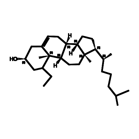 CCC1C[C@H](O)CC2=CC[C@H]3[C@@H]4CC[C@H]([C@H](C)CCCC(C)C)[C@@]4(C)CC[C@@H]3[C@]21C